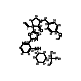 C=C[C@@]1(c2nnc(-c3ncccc3N[C@H]3CCC[C@@H](C(F)(F)F)C3)o2)CCN(Cc2ccc(OC)cc2)C1=O